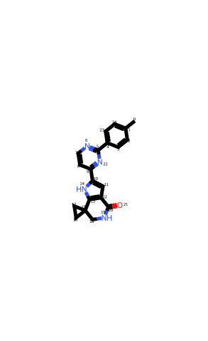 Cc1ccc(-c2nccc(-c3cc4c([nH]3)C3(CC3)CNC4=O)n2)cc1